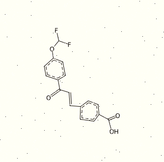 O=C(O)c1ccc(C=CC(=O)c2ccc(OC(F)F)cc2)cc1